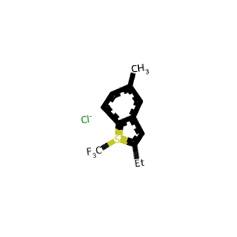 CCc1cc2cc(C)ccc2[s+]1C(F)(F)F.[Cl-]